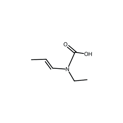 CC=CN(CC)C(=O)O